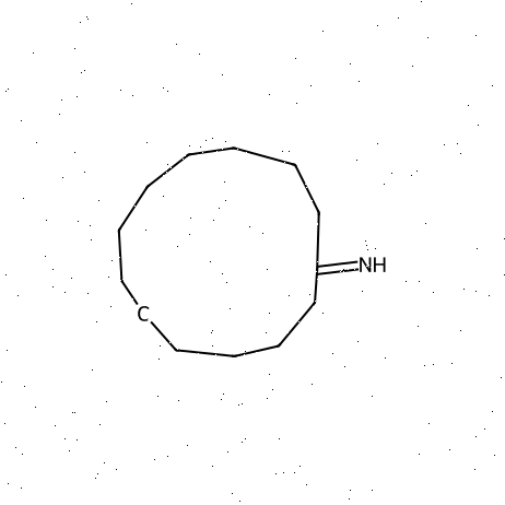 N=C1CCCCCCCCCCCC1